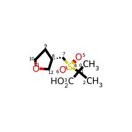 CC(C)(C(=O)O)S(=O)(=O)C[C@H]1CCOC1